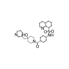 O=C(c1ccc(NS(=O)(=O)c2cccc3cccnc23)cc1)N1CCC(O)(Cc2cccnc2)CC1